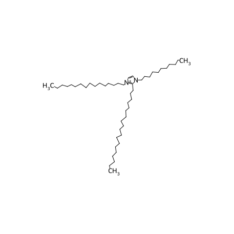 CCCCCCCCCCCCCCCCCCCc1n(CCCCCCCCCCC)cc[n+]1CCCCCCCCCCCCCCCC